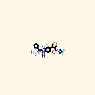 N[C@H](c1nc2c(F)c(C3COCC3C(=O)N3CC(F)(F)C3)ccc2[nH]1)C1CCCC1